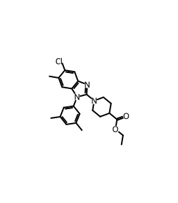 CCOC(=O)C1CCN(c2nc3cc(Cl)c(C)cc3n2-c2cc(C)cc(C)c2)CC1